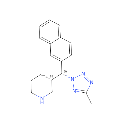 Cc1nnn([C@@H](c2ccc3ccccc3c2)[C@H]2CCCNC2)n1